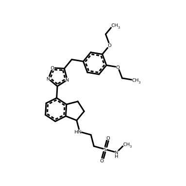 CCOc1ccc(Cc2nc(-c3cccc4c3CCC4NCCS(=O)(=O)NC)no2)cc1OCC